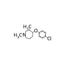 CC1CN(C)CCCC1Oc1ccc(Cl)cc1